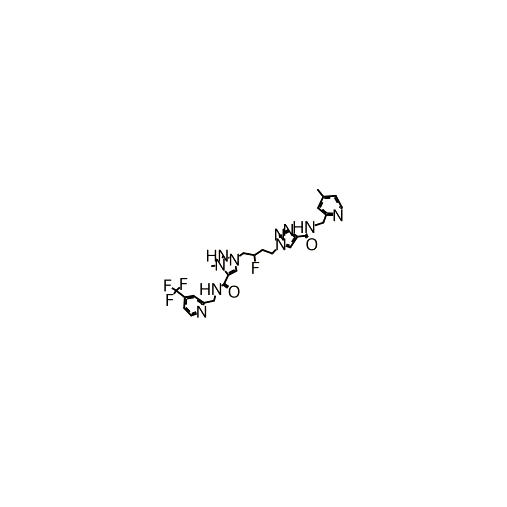 Cc1ccnc(CNC(=O)c2cn(CCC(F)CN3C=C(C(=O)NCc4cc(C(F)(F)F)ccn4)N(C)N3)nn2)c1